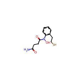 NC(=O)CCC(=O)N(O)c1ccccc1CCS